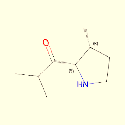 CC(C)C(=O)[C@H]1NCC[C@H]1C